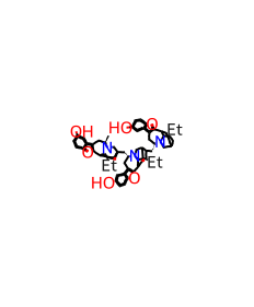 CCC1CC2CC3c4oc5ccc(O)cc5c4C[C@@H](CC4C5CC6c7oc8ccc(O)cc8c7C[C@H](CC78CC(CC)C9C(C7)c7oc%10ccc(O)cc%10c7C[C@@H](C)N9C8)N(C5)C6C4CC)N(C2)C13